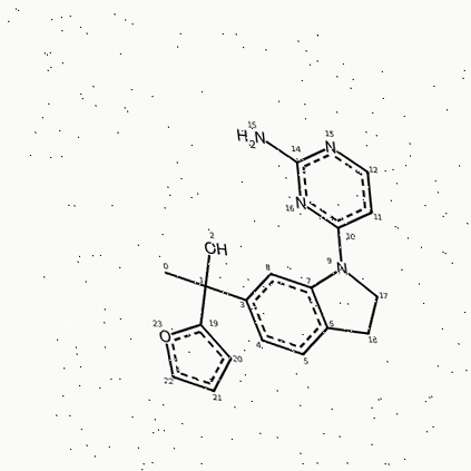 CC(O)(c1ccc2c(c1)N(c1ccnc(N)n1)CC2)c1ccco1